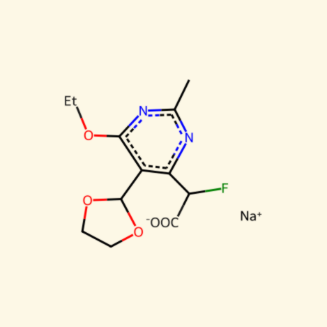 CCOc1nc(C)nc(C(F)C(=O)[O-])c1C1OCCO1.[Na+]